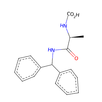 C[C@H](NC(=O)O)C(=O)NC(c1ccccc1)c1ccccc1